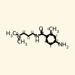 Cc1cc(N)ccc1C(=O)NCCCN(C)C